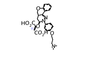 CN(C)CCCOc1ccc(N2N=C3c4ccccc4OCC3CC2=O)cc1.O=C(O)/C=C/C(=O)O